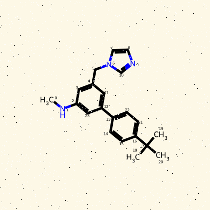 CNc1cc(Cn2ccnc2)cc(-c2ccc(C(C)(C)C)cc2)c1